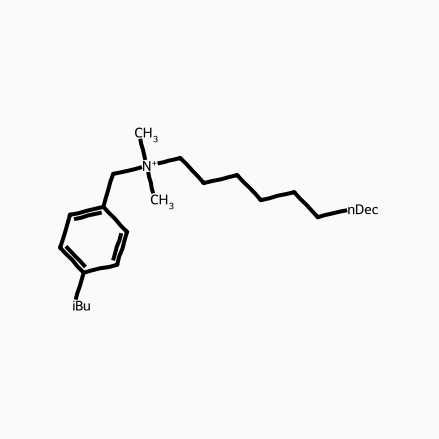 CCCCCCCCCCCCCCCC[N+](C)(C)Cc1ccc(C(C)CC)cc1